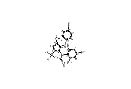 Cn1nc(C(F)(F)F)c(N(C=O)c2c(F)cc(F)cc2F)c1Sc1ccc(F)cc1